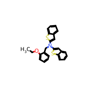 CCOc1ccccc1CN(c1cc2ccccc2s1)c1cc2ccccc2s1